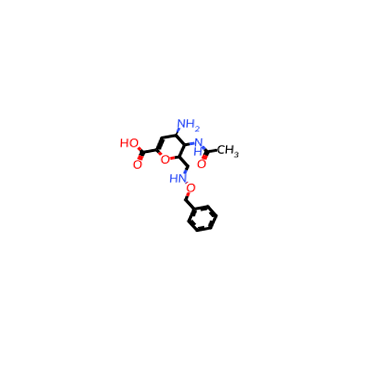 CC(=O)NC1C(CNOCc2ccccc2)OC(C(=O)O)=C[C@H]1N